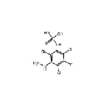 NNc1c(Cl)cc(Cl)c(Cl)c1Cl.O=P(O)(O)O